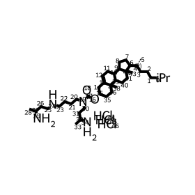 CC(C)CCC[C@@H](C)C1CCC2C3CC=C4CC(OC(=O)N(CCCCNCCC(C)N)CCC(C)N)CCC4(C)C3CCC21C.Cl.Cl.Cl